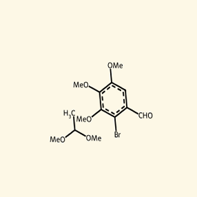 COC(C)OC.COc1cc(C=O)c(Br)c(OC)c1OC